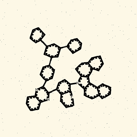 c1ccc(-c2cc(-c3ccccc3)cc(-c3ccc(-c4nc5ccccc5nc4-c4ccc(-n5c6ccc7ccccc7c6c6c7ccccc7ccc65)c5ccccc45)cc3)c2)cc1